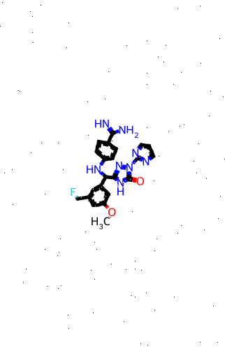 COc1cc(CF)cc(C(Nc2ccc(C(=N)N)cc2)c2nn(-c3ncccn3)c(=O)[nH]2)c1